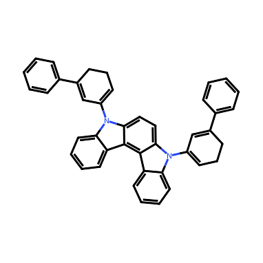 C1=C(c2ccccc2)CCC=C1n1c2ccccc2c2c3c4ccccc4n(C4=CCCC(c5ccccc5)=C4)c3ccc21